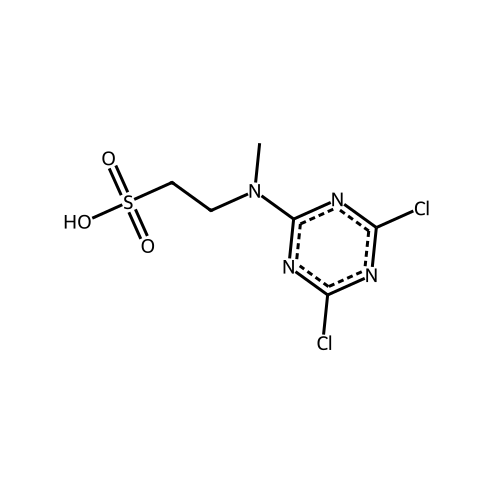 CN(CCS(=O)(=O)O)c1nc(Cl)nc(Cl)n1